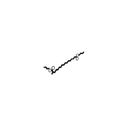 CCCCOC(=O)CCCCCCCCCCCCCCC(C)C(=O)OCCCC